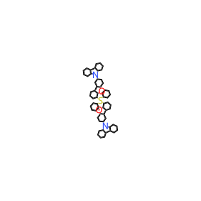 c1ccc(S(c2ccccc2)(c2cccc3c2oc2ccc(-n4c5ccccc5c5ccccc54)cc23)c2cccc3c2oc2ccc(-n4c5ccccc5c5ccccc54)cc23)cc1